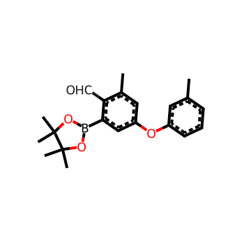 Cc1cccc(Oc2cc(C)c(C=O)c(B3OC(C)(C)C(C)(C)O3)c2)c1